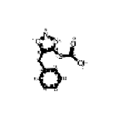 O=C(O)Sc1nnoc1Cc1ccccc1